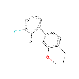 Cc1c(F)cccc1-c1ccc2c(c1)OCCC2